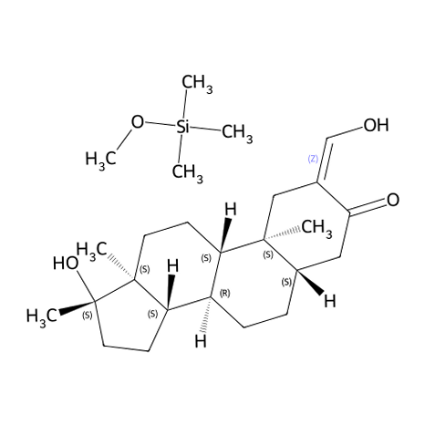 CO[Si](C)(C)C.C[C@]12C/C(=C/O)C(=O)C[C@@H]1CC[C@@H]1[C@@H]2CC[C@@]2(C)[C@H]1CC[C@]2(C)O